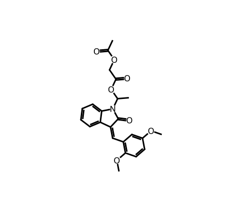 COc1ccc(OC)c(C=C2C(=O)N(C(C)OC(=O)COC(C)=O)c3ccccc32)c1